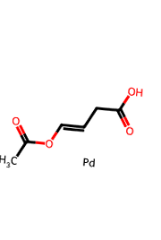 CC(=O)OC=CCC(=O)O.[Pd]